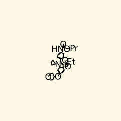 CCS(=O)(=O)c1c(-c2ccc(NC(=O)OC(C)C)cc2)n(C2CCC2)c2cc(OC3CCOCC3)ccc12